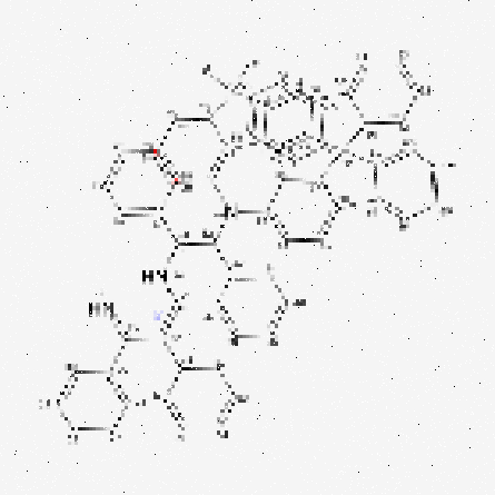 CC1(C)c2ccccc2-c2c(N(C3=C(c4ccccc4)N/C(=C(\C(=N)c4ccccc4)c4ccccc4)c4ccccc43)c3ccc4c(c3)C3(c5ccccc5-c5ccccc53)c3ccccc3-4)cccc21